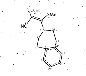 CCOC(=O)C(C#N)=C(SC)N1CCc2ccccc2CC1